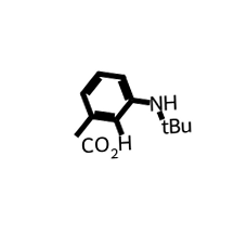 Cc1cccc(NC(C)(C)C)c1C(=O)O